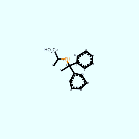 CC(PC(C)(c1ccccc1)c1ccccc1)C(=O)O